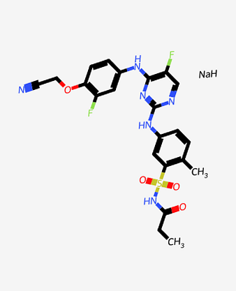 CCC(=O)NS(=O)(=O)c1cc(Nc2ncc(F)c(Nc3ccc(OCC#N)c(F)c3)n2)ccc1C.[NaH]